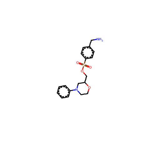 NCc1ccc(S(=O)(=O)OCC2CN(c3ccccc3)CCO2)cc1